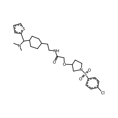 CN(C)C(c1cccs1)C1CCC(CCNC(=O)COC2CCN(S(=O)(=O)c3ccc(Cl)cc3)C2)CC1